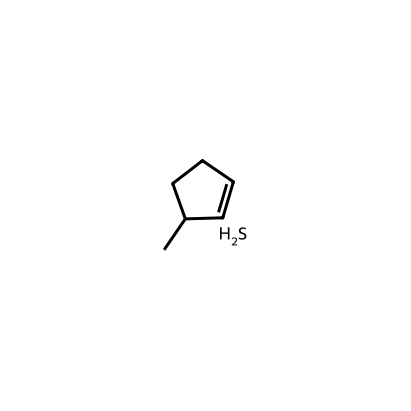 CC1C=CCC1.S